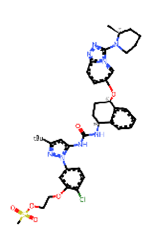 C[C@H]1CCCCN1c1nnc2ccc(O[C@@H]3CC[C@H](NC(=O)Nc4cc(C(C)(C)C)nn4-c4ccc(Cl)c(OCCOS(C)(=O)=O)c4)c4ccccc43)cn12